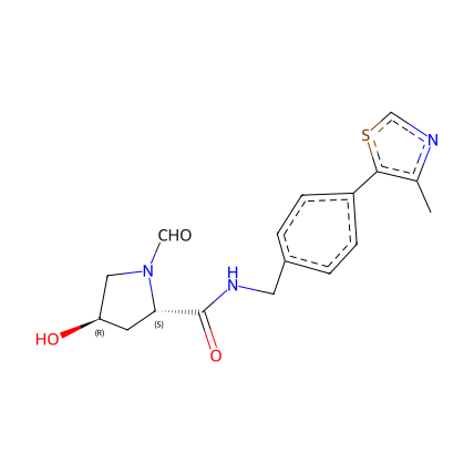 Cc1ncsc1-c1ccc(CNC(=O)[C@@H]2C[C@@H](O)CN2C=O)cc1